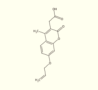 C=CCOc1ccc2c(C)c(CC(=O)O)c(=O)oc2c1